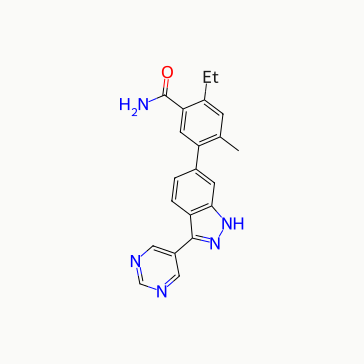 CCc1cc(C)c(-c2ccc3c(-c4cncnc4)n[nH]c3c2)cc1C(N)=O